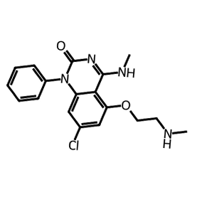 CNCCOc1cc(Cl)cc2c1c(NC)nc(=O)n2-c1ccccc1